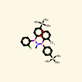 CCCC[Si](CCCC)(CCCC)c1ccc(P(c2ccccc2F)N(C)P(c2ccc([Si](CCCC)(CCCC)CCCC)cc2)c2ccccc2C(F)(F)F)cc1